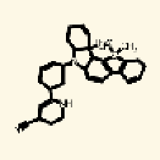 CC12C=CCCC1N(C1C=CCC(C3=CC(C#N)CCN3)C1)C1C=CC3=C(C12)S(C)(C)C1=C3C=CCC1